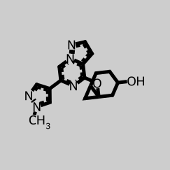 Cn1cc(-c2cn3nccc3c(OC34CC(O)CCC3C4)n2)cn1